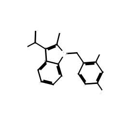 Cc1c(C(C)O)c2ccccc2n1Cc1ccc(Cl)cc1Cl